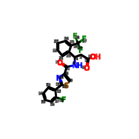 O=C(O)CC(NC(=O)c1csc(-c2ccccc2F)n1)c1ccccc1C(F)(F)F